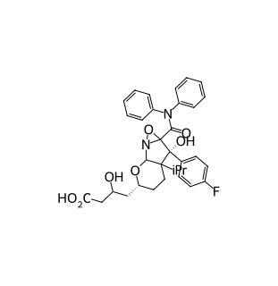 CC(C)C12CC[C@H](CC(O)CC(=O)O)OC1N1OC1(C(=O)N(c1ccccc1)c1ccccc1)[C@@]2(O)c1ccc(F)cc1